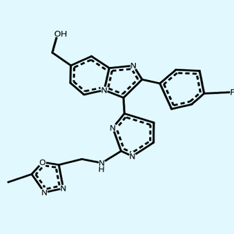 Cc1nnc(CNc2nccc(-c3c(-c4ccc(F)cc4)nc4cc(CO)ccn34)n2)o1